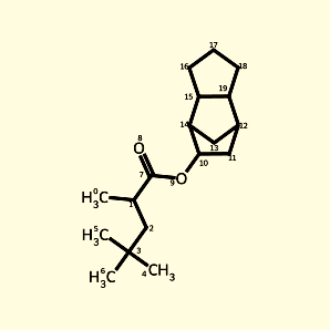 CC(CC(C)(C)C)C(=O)OC1CC2CC1C1CCCC21